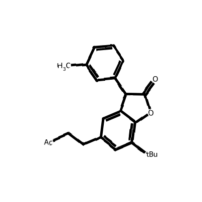 CC(=O)CCc1cc2c(c(C(C)(C)C)c1)OC(=O)C2c1cccc(C)c1